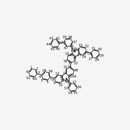 c1ccc(-c2ccc(-c3ccc4c(c3)c3cc(-c5ccc6c(c5)c5cc(-c7ccccc7)ccc5n6-c5cccc(-c6ccccc6)c5)ccc3n4-c3ccccc3)cc2)cc1